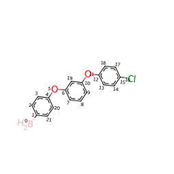 Bc1ccc(Oc2cccc(Oc3ccc(Cl)cc3)c2)cc1